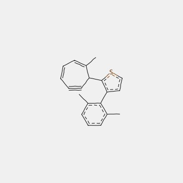 CC1=CC=CC#CC1c1sccc1-c1c(C)cccc1C